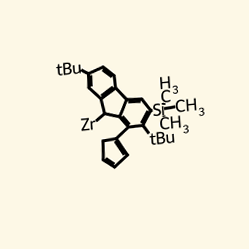 CC(C)(C)c1ccc2c(c1)[CH]([Zr])c1c-2cc([Si](C)(C)C)c(C(C)(C)C)c1C1=CC=CC1